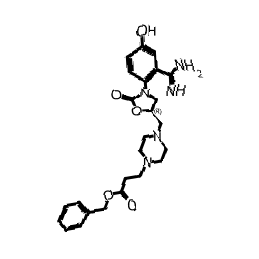 N=C(N)c1cc(O)ccc1N1C[C@@H](CN2CCN(CCC(=O)OCc3ccccc3)CC2)OC1=O